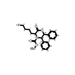 CC(C)(C)OC(=O)N1C(CCCCF)C(=O)OC(c2ccccc2)C1c1ccccc1